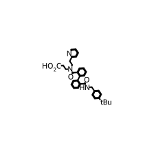 CC(C)(C)c1ccc(CNC(=O)c2ccccc2-c2ccccc2C(=O)N(CCC(=O)O)CCc2ccccn2)cc1